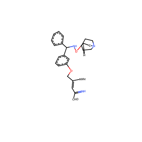 CN/C(=C\C(=N)C=O)COc1cccc(C(NO[C@H]2CN3CCC2CC3)c2ccccc2)c1